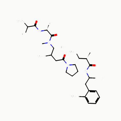 CC[C@H](C)C(C(CC(=O)N1CCC[C@H]1C(OC)[C@@H](C)C(=O)NC(Cc1ccccc1OC)C(=O)O)OC)N(C)C(=O)[C@@H](NC(=O)C(NC)C(C)C)C(C)C